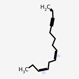 C=CC#CCCC/C=C\C/C=C\CC